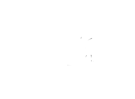 C#C[C@H](O)[C@@H](COP(=O)(N[C@@H](C)C(=O)O[C@H](C)CC)Oc1ccc(Cl)cc1)OC